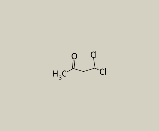 CC(=O)C[C](Cl)Cl